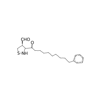 O=C[C@@H]1CSNC1C(=O)CCCCCCCCCc1ccccc1